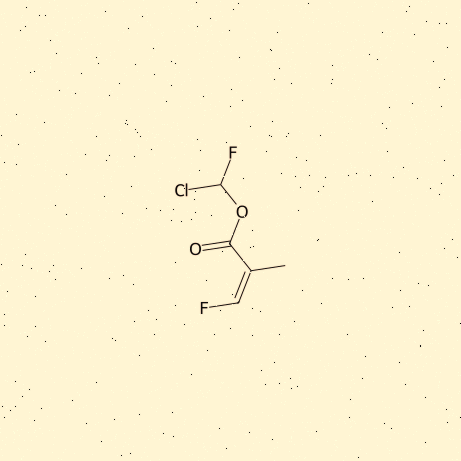 CC(=CF)C(=O)OC(F)Cl